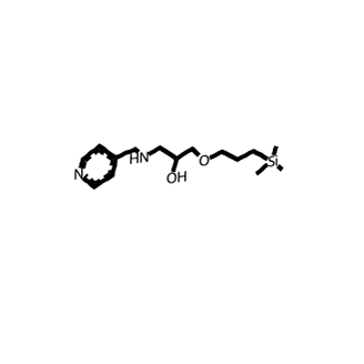 C[Si](C)(C)CCCOCC(O)CNCc1ccncc1